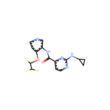 O=C(Nc1cnccc1OC(F)C(F)F)c1ccnc(NC2CC2)n1